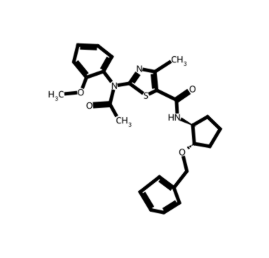 COc1ccccc1N(C(C)=O)c1nc(C)c(C(=O)N[C@H]2CCC[C@@H]2OCc2ccccc2)s1